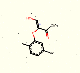 COC(=O)/C(=C/O)Oc1cc(C(C)=O)ccc1C